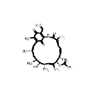 C=CC1=C2NC(=O)/C(C)=C/C=C\[C@H](C)[C@@H](OC(N)=O)/C(C)=C/[C@H](C)[C@@H](O)[C@@H](C)C[C@H](C)CC(=C(C)C1=O)C2=O